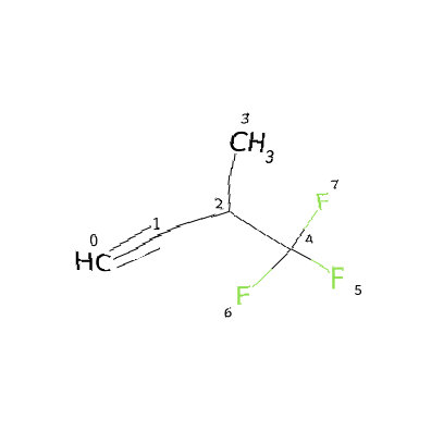 C#CC(C)C(F)(F)F